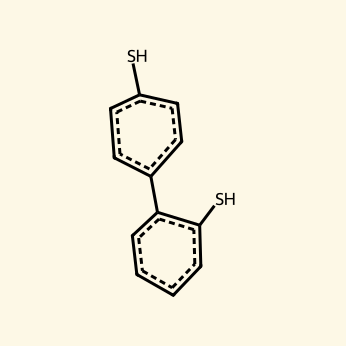 Sc1ccc(-c2ccccc2S)cc1